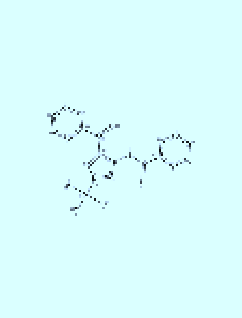 CC(C)[Si](C(C)C)(C(C)C)n1cc(SC(=O)c2ccccc2)c(C(=O)c2ccccc2)c1